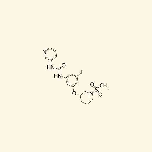 CS(=O)(=O)N1CCC[C@H](Oc2cc(F)cc(NC(=O)Nc3cccnc3)c2)C1